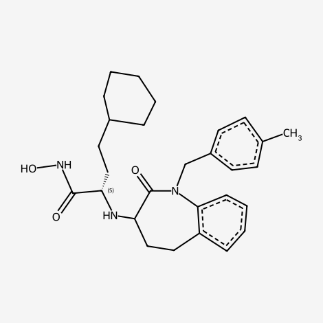 Cc1ccc(CN2C(=O)C(N[C@@H](CCC3CCCCC3)C(=O)NO)CCc3ccccc32)cc1